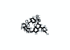 CCC(OC(=O)c1ccc([N+](=O)[O-])cc1)(c1cn(Cc2ccc3c(-c4csc(C)n4)cc(=O)oc3c2)nn1)C(F)(F)F